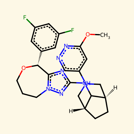 COc1cc(N2C[C@H]3CC[C@H](C2)C3Nc2nc3n(n2)CCCO[C@@H]3c2cc(F)cc(F)c2)cnn1